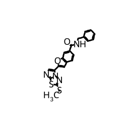 CSc1nn2c(-c3cc4ccc(C(=O)NCc5ccccc5)cc4o3)cnc2s1